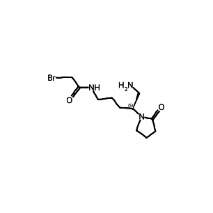 NC[C@H](CCCNC(=O)CBr)N1CCCC1=O